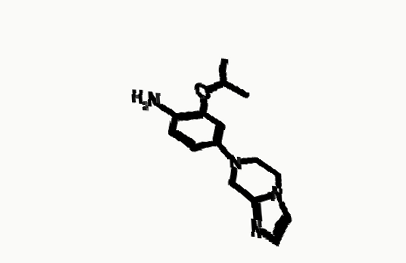 CC(C)Oc1cc(N2CCn3ccnc3C2)ccc1N